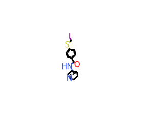 O=C(NC1CN2CCC1CC2)c1ccc(SCI)cc1